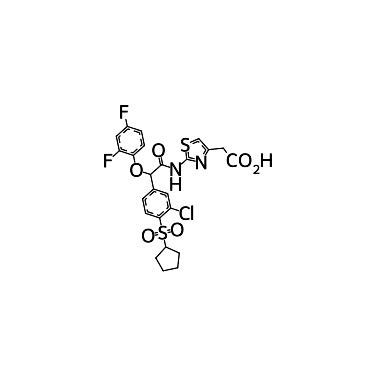 O=C(O)Cc1csc(NC(=O)C(Oc2ccc(F)cc2F)c2ccc(S(=O)(=O)C3CCCC3)c(Cl)c2)n1